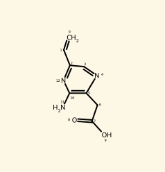 C=Cc1cnc(CC(=O)O)c(N)n1